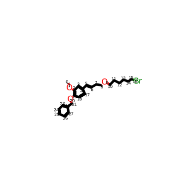 COc1cc(C=CCCOCCCCCCBr)ccc1OCc1ccccc1